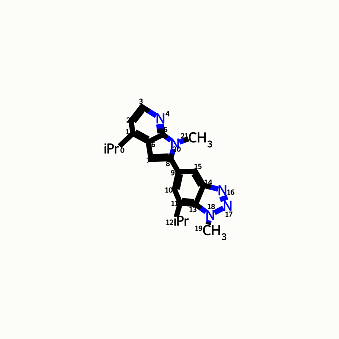 CC(C)c1ccnc2c1cc(-c1cc(C(C)C)c3c(c1)nnn3C)n2C